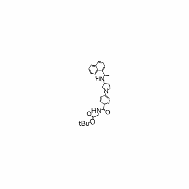 C[C@@H](N[C@@H]1CCN(c2ccc(C(=O)NCC(=O)OC(C)(C)C)cc2)C1)c1cccc2ccccc12